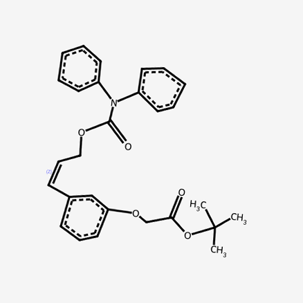 CC(C)(C)OC(=O)COc1cccc(/C=C\COC(=O)N(c2ccccc2)c2ccccc2)c1